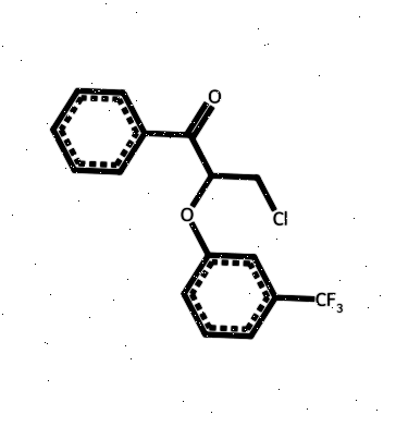 O=C(c1ccccc1)C(CCl)Oc1cccc(C(F)(F)F)c1